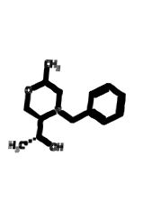 CC1CN(Cc2ccccc2)[C@@H]([C@@H](C)O)CO1